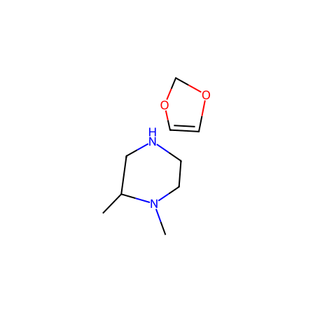 C1=COCO1.CC1CNCCN1C